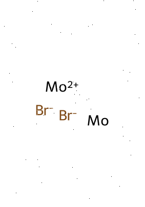 [Br-].[Br-].[Mo+2].[Mo]